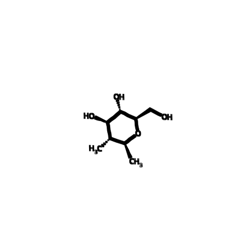 C[C@@H]1[C@@H](O)[C@H](O)[C@@H](CO)O[C@H]1C